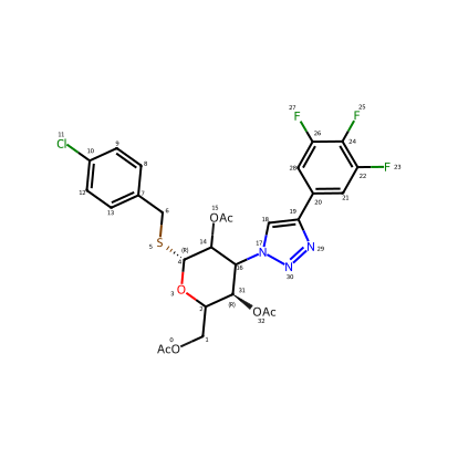 CC(=O)OCC1O[C@H](SCc2ccc(Cl)cc2)C(OC(C)=O)C(n2cc(-c3cc(F)c(F)c(F)c3)nn2)[C@H]1OC(C)=O